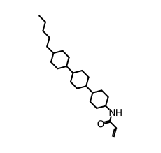 C=CC(=O)NC1CCC(C2CCC(C3CCC(CCCCC)CC3)CC2)CC1